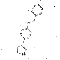 c1ccc(SNc2ccc(C3=NNCC3)cc2)cc1